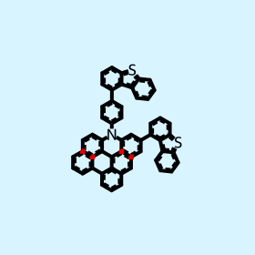 c1ccc(-c2cccc3cccc(-c4ccccc4N(c4ccc(-c5cccc6sc7ccccc7c56)cc4)c4cccc(-c5cccc6sc7ccccc7c56)c4)c23)cc1